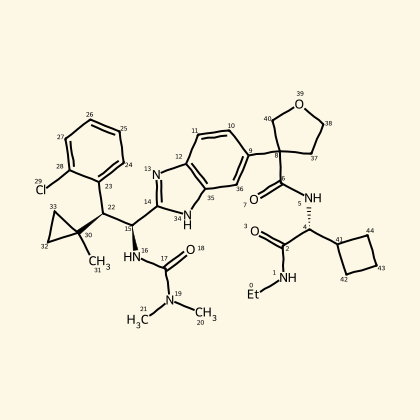 CCNC(=O)[C@H](NC(=O)C1(c2ccc3nc([C@@H](NC(=O)N(C)C)[C@H](c4ccccc4Cl)C4(C)CC4)[nH]c3c2)CCOC1)C1CCC1